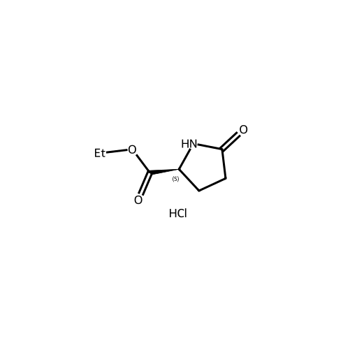 CCOC(=O)[C@@H]1CCC(=O)N1.Cl